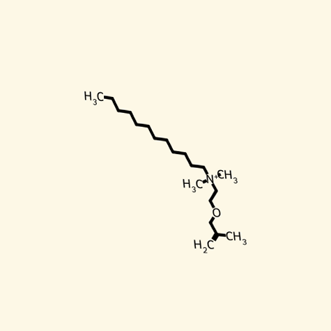 C=C(C)COCC[N+](C)(C)CCCCCCCCCCCC